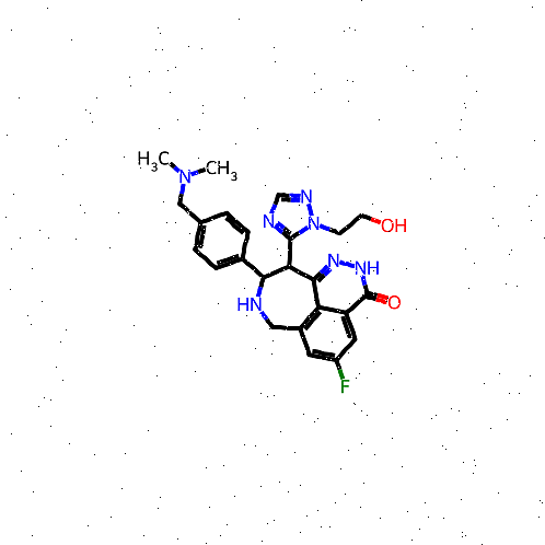 CN(C)Cc1ccc(C2NCc3cc(F)cc4c(=O)[nH]nc(c34)C2c2ncnn2CCO)cc1